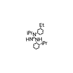 CCc1cccc(N(C(=N)Nc2ccccc2C(C)C)C(C)C)c1